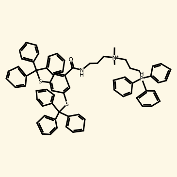 C[N+](C)(CCCNC(=O)c1cc(SC(c2ccccc2)(c2ccccc2)c2ccccc2)cc(SC(c2ccccc2)(c2ccccc2)c2ccccc2)c1)CCC[PH](c1ccccc1)(c1ccccc1)c1ccccc1